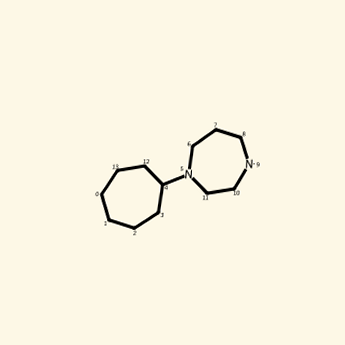 C1CCCC(N2CCC[N]CC2)CC1